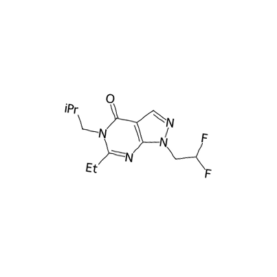 CCc1nc2c(cnn2CC(F)F)c(=O)n1CC(C)C